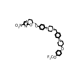 O=[N+]([O-])c1cn2c(n1)O[C@@H](COc1ccc(N3CCN(Cc4ccc(N5CCC(Oc6ccc(OC(F)(F)F)cc6)CC5)cc4)CC3)cc1)CC2